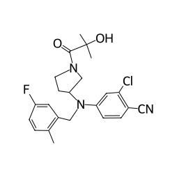 Cc1ccc(F)cc1CN(c1ccc(C#N)c(Cl)c1)C1CCN(C(=O)C(C)(C)O)C1